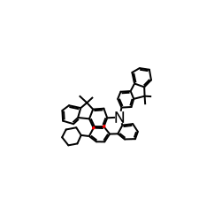 CC1(C)c2ccccc2-c2ccc(N(c3ccc4c(c3)C(C)(C)c3ccccc3-4)c3ccccc3-c3ccc(C4CCCCC4)cc3)cc21